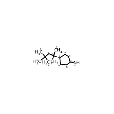 CC(C)(C)CC(C)(C)[C@H]1CC[C@@H]([NH])CC1